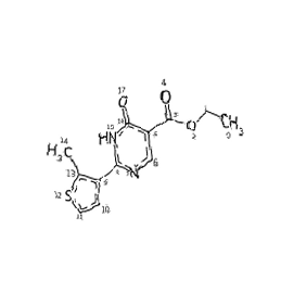 CCOC(=O)c1cnc(-c2ccsc2C)[nH]c1=O